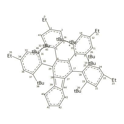 CCc1cc(C(C)(C)C)c(-c2c(-c3c(C(C)(C)C)cc(CC)cc3C(C)(C)C)c(-c3c(C(C)(C)C)cc(CC)cc3C(C)(C)C)c3c(c2-c2c(C(C)(C)C)cc(CC)cc2C(C)(C)C)=c2ccccc2=3)c(C(C)(C)C)c1